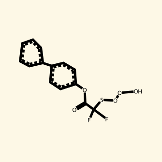 O=C(Oc1ccc(-c2ccccc2)cc1)C(F)(F)SOOO